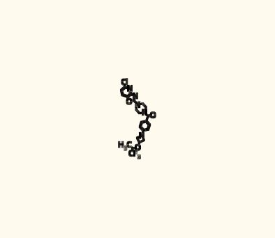 CC(OC1CN(c2ccc(C(=O)N3CCN(c4nc5nc(Cl)ccc5o4)CC3)cc2)C1)C(F)(F)F